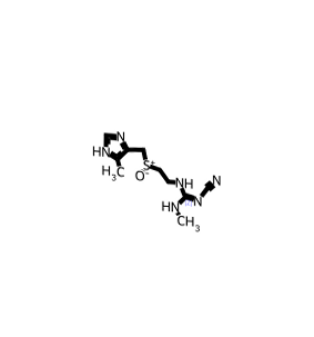 CN/C(=N/C#N)NCC[S+]([O-])Cc1nc[nH]c1C